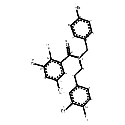 CCc1cc(CCN(Cc2ccc(C(C)(C)C)cc2)C(=O)c2cc(C(F)(F)F)cc(Cl)c2F)ccc1F